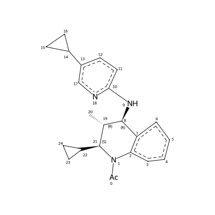 CC(=O)N1c2ccccc2[C@H](Nc2ccc(C3CC3)cn2)[C@@H](C)[C@@H]1C1CC1